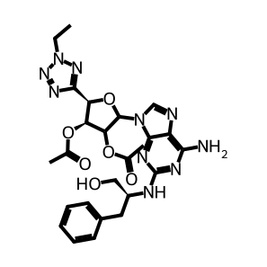 CCn1nnc([C@H]2OC(n3cnc4c(N)nc(N[C@H](CO)Cc5ccccc5)nc43)C(OC(C)=O)[C@H]2OC(C)=O)n1